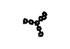 c1cncc(-c2ccc(-c3cc(-c4ccc5c(ccc6ccccc65)c4)cc(-c4ccc(-c5cccnc5)cc4)n3)cc2)c1